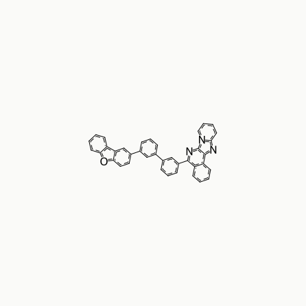 c1cc(-c2cccc(-c3nc4c(nc5ccccn54)c4ccccc34)c2)cc(-c2ccc3oc4ccccc4c3c2)c1